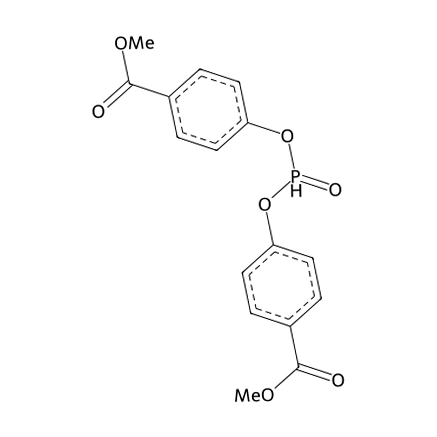 COC(=O)c1ccc(O[PH](=O)Oc2ccc(C(=O)OC)cc2)cc1